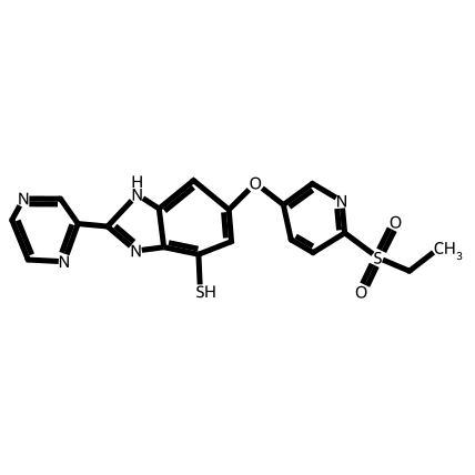 CCS(=O)(=O)c1ccc(Oc2cc(S)c3nc(-c4cnccn4)[nH]c3c2)cn1